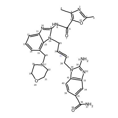 Cc1nc(C)c(C(=O)Nc2nc3cccc(CN4CCOCC4)c3n2C/C=C/Cn2c(N)nc3cc(C(N)=O)ccc32)o1